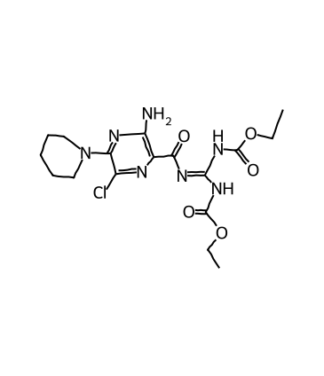 CCOC(=O)NC(=NC(=O)c1nc(Cl)c(N2CCCCC2)nc1N)NC(=O)OCC